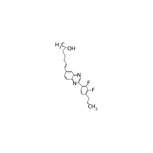 C=CCc1ccc(-c2cnc3cc(C=CCCCC(C)O)ccc3n2)c(F)c1F